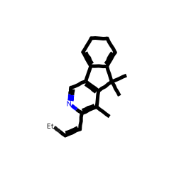 CC/C=C\c1ncc2c(c1C)C(C)(C)C1=CCCC=C12